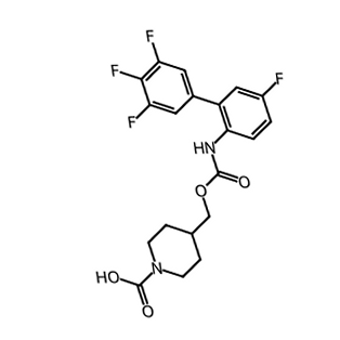 O=C(Nc1ccc(F)cc1-c1cc(F)c(F)c(F)c1)OCC1CCN(C(=O)O)CC1